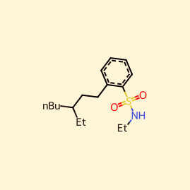 CCCCC(CC)CCc1ccccc1S(=O)(=O)NCC